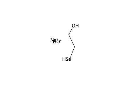 OCC[SeH].[Na+].[OH-]